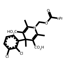 CCCC(=O)OCN1C(C)=C(C(=O)O)C(C)(c2cccc(Cl)c2Cl)C(C(=O)O)=C1C